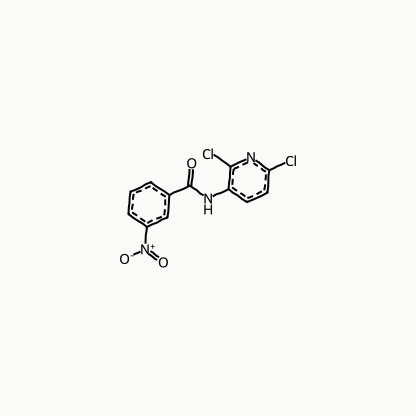 O=C(Nc1ccc(Cl)nc1Cl)c1cccc([N+](=O)[O-])c1